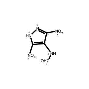 O=CNc1c([N+](=O)[O-])n[nH]c1[N+](=O)[O-]